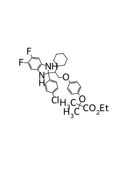 CCOC(=O)C(C)(C)Oc1ccc(OCC(C2CCCCC2)C2(c3ccc(Cl)cc3)Nc3cc(F)c(F)cc3N2)cc1